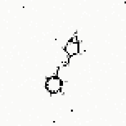 c1ccc(CCC2CC3OC3C2)cc1